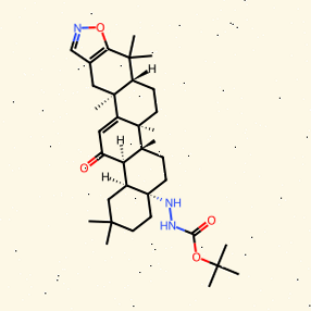 CC1(C)CC[C@]2(NNC(=O)OC(C)(C)C)CC[C@]3(C)[C@H](C(=O)C=C4[C@@]5(C)Cc6cnoc6C(C)(C)[C@@H]5CC[C@]43C)[C@@H]2C1